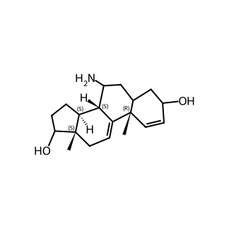 C[C@]12C=CC(O)CC1CC(N)[C@@H]1C2=CC[C@]2(C)C(O)CC[C@@H]12